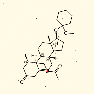 COC1(O[C@H]2CC[C@H]3[C@@H]4CC=C5CC(=O)C[C@@H](C)[C@]5(COC(C)=O)[C@H]4CC[C@]23C)CCCCC1